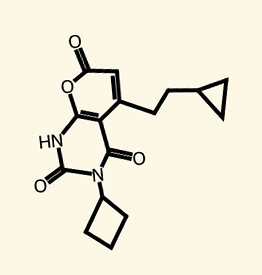 O=c1cc(CCC2CC2)c2c(=O)n(C3CCC3)c(=O)[nH]c2o1